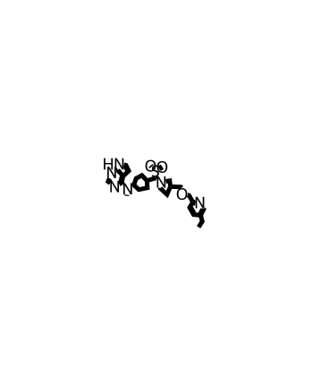 CCc1ccc(COCC2CCN(C(C3CCC(N(C)c4ncnc5[nH]ccc45)CC3)=S(=O)=O)C2)nc1